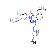 C#CC1C=NN(CCNc2cccc(C=C)c2C(=O)N(C)C(C=C)CCC=C)C1